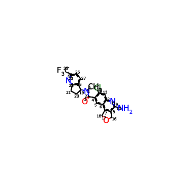 CN(C(=O)c1cc2c3c(c(N)nc2cc1Cl)COC3)[C@H]1CCc2nc(C(F)(F)F)ccc21